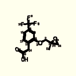 C[C@]1(COc2cc(C(F)(F)F)ccc2CC(=O)O)CO1